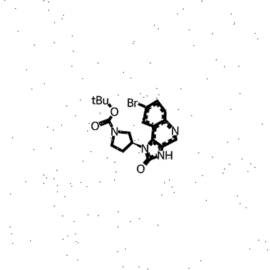 CC(C)(C)OC(=O)N1CC[C@H](n2c(=O)[nH]c3cnc4ccc(Br)cc4c32)C1